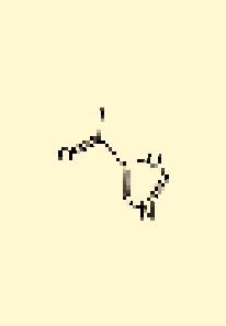 CC(=O)c1cnco1